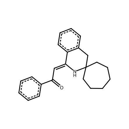 O=C(C=C1NC2(CCCCCC2)Cc2ccccc21)c1ccccc1